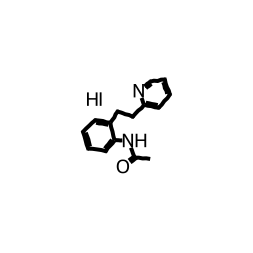 CC(=O)Nc1ccccc1CCc1ccccn1.I